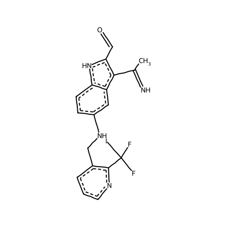 CC(=N)c1c(C=O)[nH]c2ccc(NCc3cccnc3C(F)(F)I)cc12